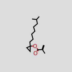 C=C(C)C(=O)OC1(CCCCCCC(C)C)CC1